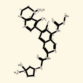 Cc1c(-c2cc3cc(NC(=O)O[C@H]4CC[C@](C)(O)C4)ncc3c(NC(=O)OC(C)(C)C)c2F)cnc2c1N(C(=O)O)CCO2